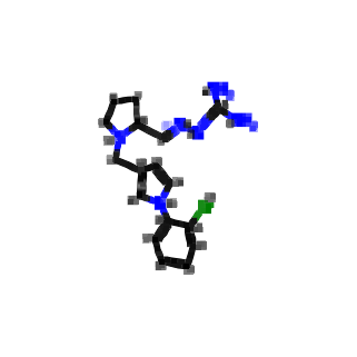 NC(N)=N/N=C/C1CCCN1Cc1ccn(-c2ccccc2Br)c1